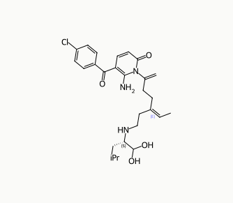 C=C(CC/C(=C\C)CCN[C@@H](CC(C)C)C(O)O)n1c(N)c(C(=O)c2ccc(Cl)cc2)ccc1=O